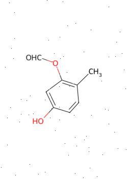 Cc1ccc(O)cc1OC=O